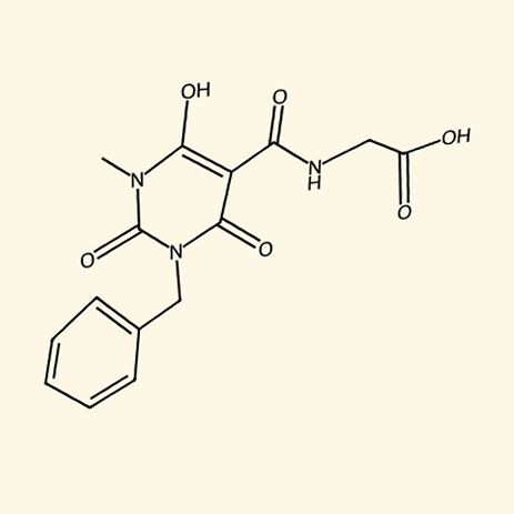 Cn1c(O)c(C(=O)NCC(=O)O)c(=O)n(Cc2ccccc2)c1=O